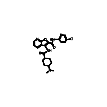 CN(C)C1CCC(C(=O)Nc2c(C(=O)Nc3ccc(Cl)cn3)oc3ncccc23)CC1